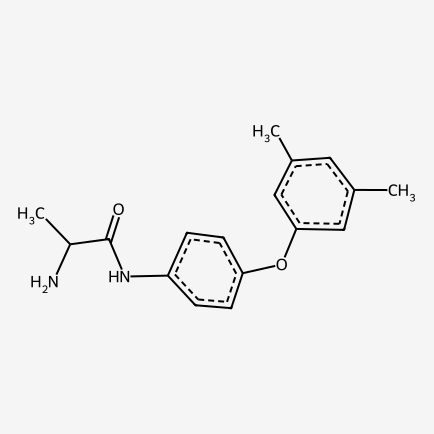 Cc1cc(C)cc(Oc2ccc(NC(=O)C(C)N)cc2)c1